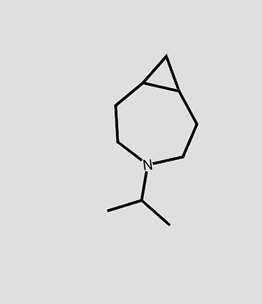 CC(C)N1CCC2CC2CC1